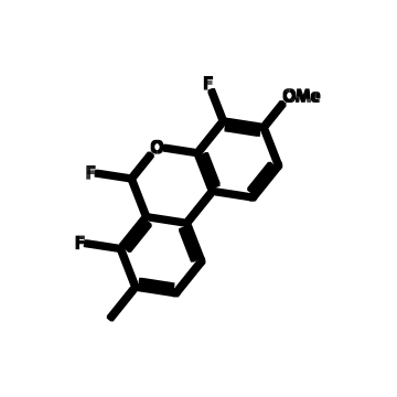 COc1ccc2c(c1F)OC(F)c1c-2ccc(C)c1F